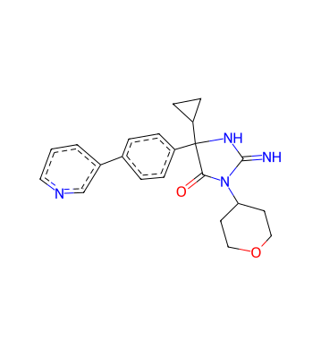 N=C1NC(c2ccc(-c3cccnc3)cc2)(C2CC2)C(=O)N1C1CCOCC1